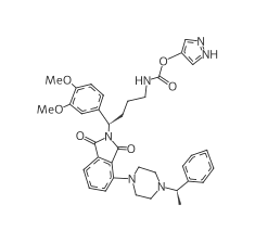 COc1ccc([C@@H](CCCNC(=O)Oc2cn[nH]c2)N2C(=O)c3cccc(N4CCN([C@H](C)c5ccccc5)CC4)c3C2=O)cc1OC